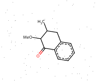 COC1C(=O)c2ccccc2CC1C